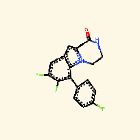 O=C1NCCn2c1cc1cc(F)c(F)c(-c3ccc(F)cc3)c12